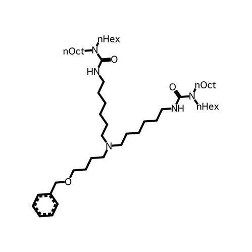 CCCCCCCCN(CCCCCC)C(=O)NCCCCCCN(CCCCCCNC(=O)N(CCCCCC)CCCCCCCC)CCCCOCc1ccccc1